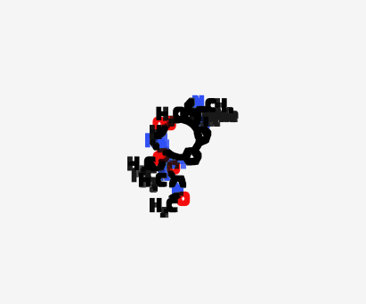 C=CC(=O)N1CC[C@H](C(=O)N(C)[C@H](C(=O)N[C@H]2Cc3cccc(c3)-c3ccc4c(c3)c(c(-c3cccnc3[C@H](C)OC)n4CC)CC(C)(C)COC(=O)[C@@H]3CCCN(N3)C2=O)C(C)C(F)(F)F)C1